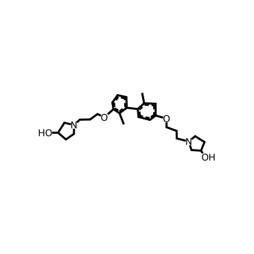 Cc1cc(OCCCN2CCC(O)C2)ccc1-c1cccc(OCCCN2CCC(O)C2)c1C